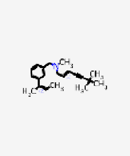 C/C=C(/C)c1cccc(CN(C)C/C=C/C#CC(C)(C)C)c1